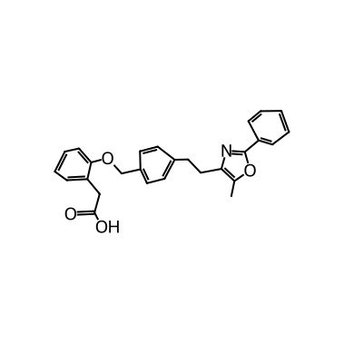 Cc1oc(-c2ccccc2)nc1CCc1ccc(COc2ccccc2CC(=O)O)cc1